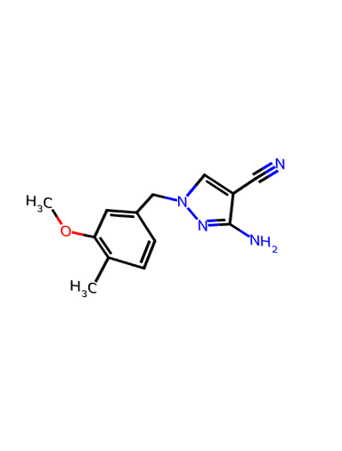 COc1cc(Cn2cc(C#N)c(N)n2)ccc1C